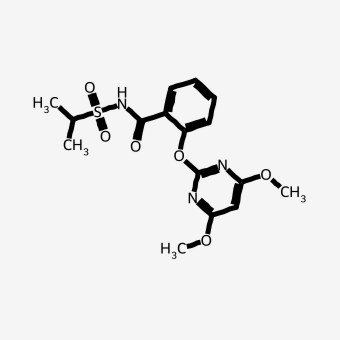 COc1cc(OC)nc(Oc2ccccc2C(=O)NS(=O)(=O)C(C)C)n1